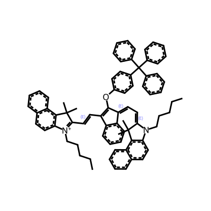 CCCCCN1/C(=C/C=C2C(Oc3ccc(C(c4ccccc4)(c4ccccc4)c4ccccc4)cc3)=C(/C=C/C3=[N+](CCCCC)c4ccc5ccccc5c4C3(C)C)c3ccccc3/2)C(C)(C)c2c1ccc1ccccc21